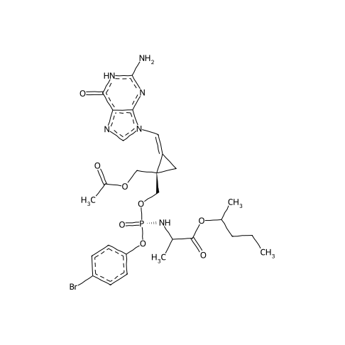 CCCC(C)OC(=O)C(C)N[P@](=O)(OC[C@]1(COC(C)=O)C/C1=C/n1cnc2c(=O)[nH]c(N)nc21)Oc1ccc(Br)cc1